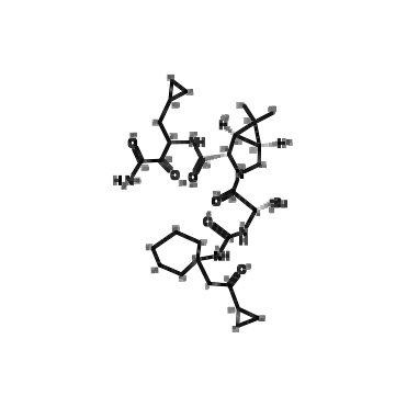 CC(C)(C)[C@H](NC(=O)NC1(CC(=O)C2CC2)CCCCC1)C(=O)N1C[C@H]2[C@@H]([C@H]1C(=O)NC(CC1CC1)C(=O)C(N)=O)C2(C)C